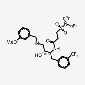 CCCN(CCC)S(=O)(=O)CCC(=O)N[C@@H](Cc1cccc(C(F)(F)F)c1)[C@H](O)CNCc1cccc(OC)c1